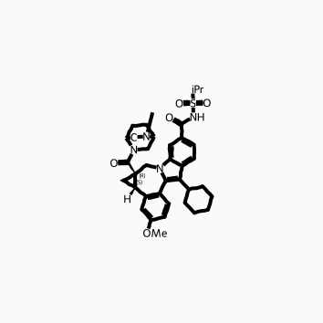 COc1ccc2c(c1)[C@@H]1C[C@]1(C(=O)N1CC3CCC1CN3C)Cn1c-2c(C2CCCCC2)c2ccc(C(=O)NS(=O)(=O)C(C)C)cc21